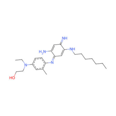 CCCCCCCNC1=C/C(=N/c2ccc(N(CC)CCO)cc2C)C(N)=CC1=N